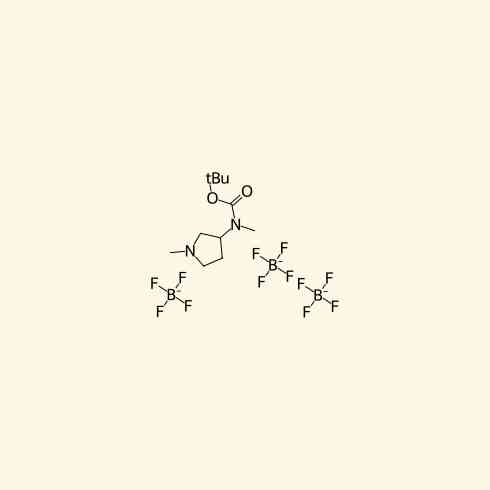 CN1CCC(N(C)C(=O)OC(C)(C)C)C1.F[B-](F)(F)F.F[B-](F)(F)F.F[B-](F)(F)F